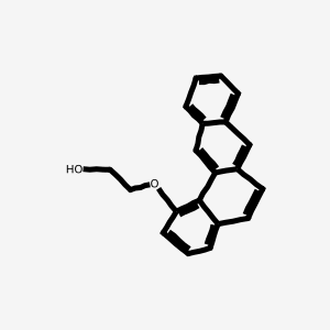 OCCOc1cccc2ccc3cc4ccccc4cc3c12